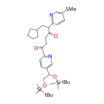 CSc1ccc(C(CC2CCCC2)C(=O)CCC(=O)c2ccc(C(CO[Si](C)(C)C(C)(C)C)O[Si](C)(C)C(C)(C)C)cn2)nc1